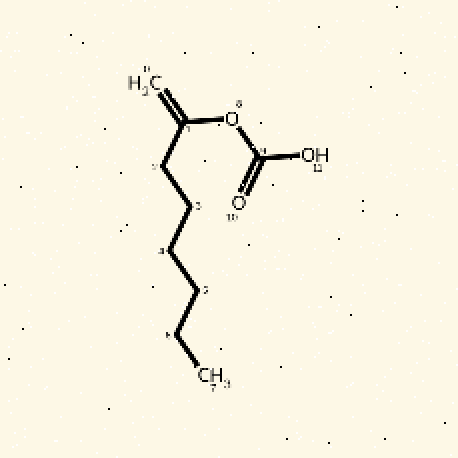 C=C(CCCCCC)OC(=O)O